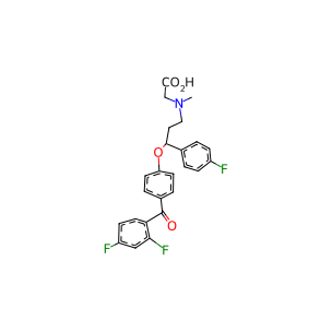 CN(CCC(Oc1ccc(C(=O)c2ccc(F)cc2F)cc1)c1ccc(F)cc1)CC(=O)O